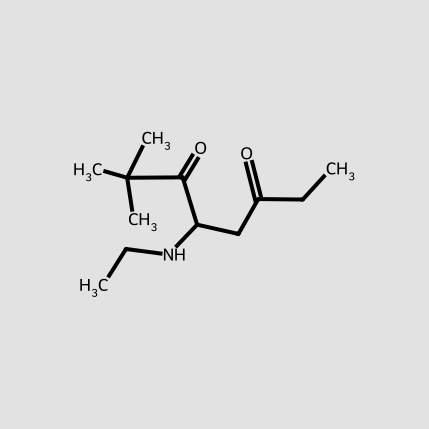 CCNC(CC(=O)CC)C(=O)C(C)(C)C